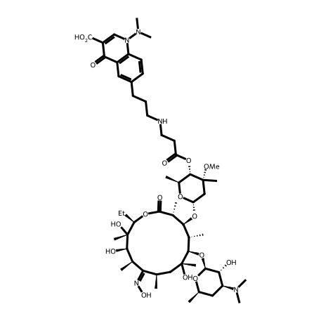 CC[C@H]1OC(=O)[C@H](C)[C@@H](O[C@H]2C[C@@](C)(OC)[C@@H](OC(=O)CCNCCCc3ccc4c(c3)c(=O)c(C(=O)O)cn4N(C)C)[C@H](C)O2)[C@H](C)[C@@H](O[C@@H]2O[C@H](C)C[C@H](N(C)C)[C@H]2O)[C@](C)(O)C[C@@H](C)/C(=N\O)[C@@H](C)[C@@H](O)[C@]1(C)O